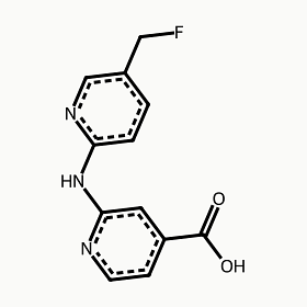 O=C(O)c1ccnc(Nc2ccc(CF)cn2)c1